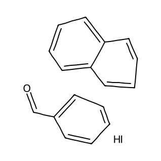 I.O=Cc1ccccc1.c1ccc2ccccc2c1